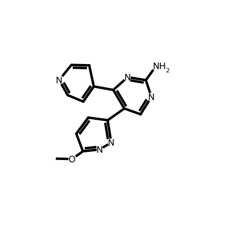 COc1ccc(-c2cnc(N)nc2-c2ccncc2)nn1